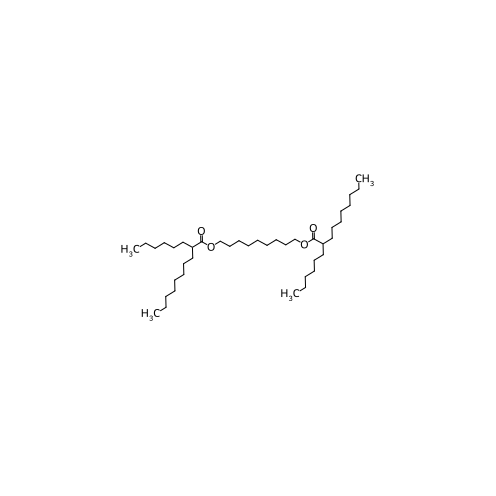 CCCCCCCCC(CCCCCC)C(=O)OCCCCCCCCCOC(=O)C(CCCCCC)CCCCCCCC